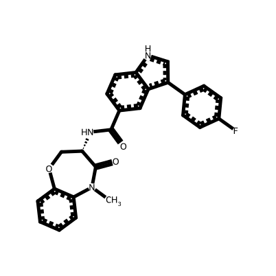 CN1C(=O)[C@@H](NC(=O)c2ccc3[nH]cc(-c4ccc(F)cc4)c3c2)COc2ccccc21